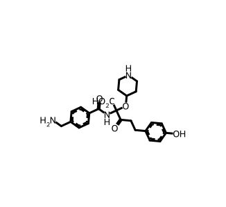 NCc1ccc(C(=O)NC(OC2CCNCC2)(C(=O)O)C(=O)CCc2ccc(O)cc2)cc1